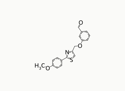 COc1ccc(-c2nc(COc3cccc(C=O)c3)cs2)cc1